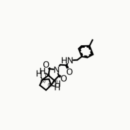 Cc1ccc(CNC(=O)CN2C(=O)[C@@H]3[C@@H]4CC[C@@H](C4)[C@@H]3C2=O)cc1